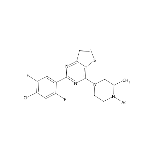 CC(=O)N1CCN(c2nc(-c3cc(F)c(Cl)cc3F)nc3ccsc23)CC1C